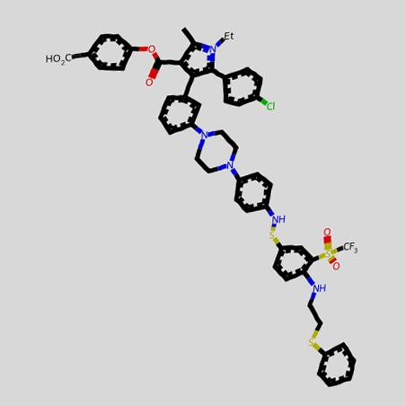 CCn1c(C)c(C(=O)Oc2ccc(C(=O)O)cc2)c(-c2cccc(N3CCN(c4ccc(NSc5ccc(NCCSc6ccccc6)c(S(=O)(=O)C(F)(F)F)c5)cc4)CC3)c2)c1-c1ccc(Cl)cc1